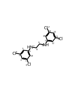 Clc1cc(Cl)cc(NCCNc2cc(Cl)cc(Cl)c2)c1